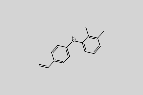 C=Cc1ccc([SiH2]c2cccc(C)c2C)cc1